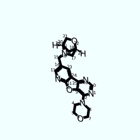 c1nc(N2CCOCC2)c2oc3ncc(CN4C[C@@H]5C[C@H]4CO5)cc3c2n1